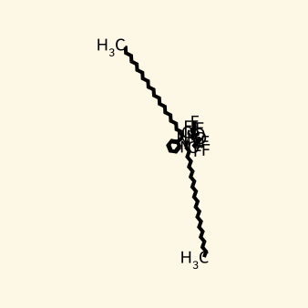 CCCCCCCCCCCCCCCCCCCCCCN1c2ccccc2N(CCCCCCCCCCCCCCCCCCCCCC)C1N(S(=O)(=O)C(F)(F)F)S(=O)(=O)C(F)(F)F